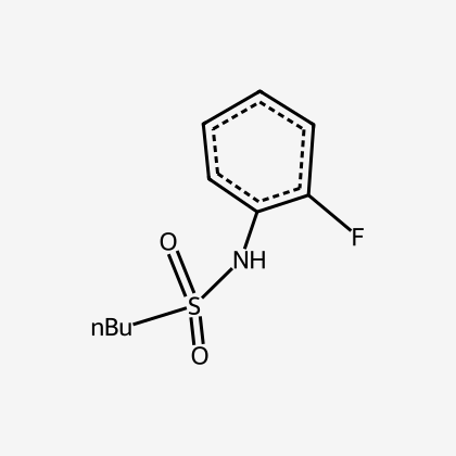 CCCCS(=O)(=O)Nc1ccccc1F